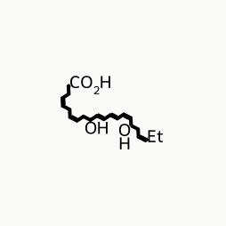 CC/C=C\CC(O)\C=C/C=C/C=C/[C@@H](O)C/C=C\C/C=C\CCC(=O)O